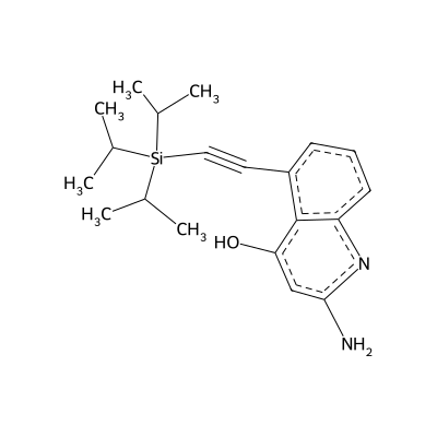 CC(C)[Si](C#Cc1cccc2nc(N)cc(O)c12)(C(C)C)C(C)C